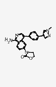 Cn1cc(-c2ccc(-c3cnc(N)c4ccc(N5CCOC5=O)cc34)cc2)cn1